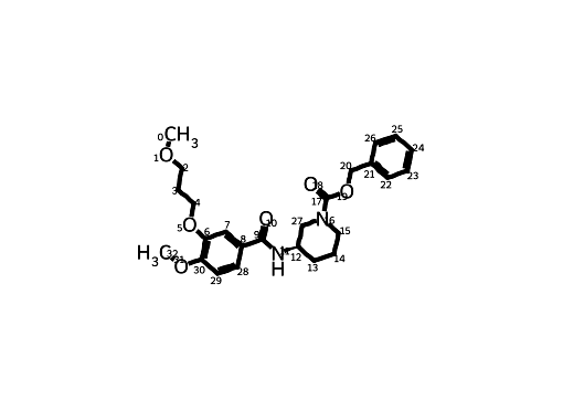 COCCCOc1cc(C(=O)N[C@@H]2CCCN(C(=O)OCc3ccccc3)C2)ccc1OC